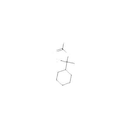 CCC(=O)OC(C)(CC)C1CCCCC1